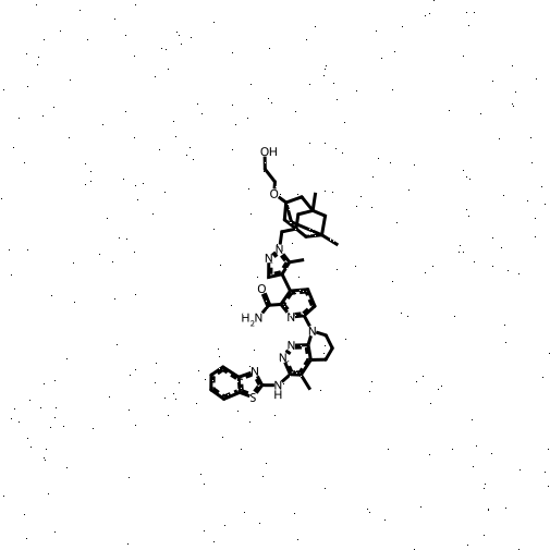 Cc1c(Nc2nc3ccccc3s2)nnc2c1CCCN2c1ccc(-c2cnn(CC34CC5(C)CC(C)(C3)CC(OCCO)(C5)C4)c2C)c(C(N)=O)n1